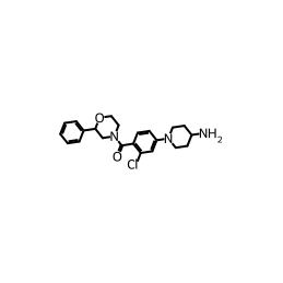 NC1CCN(c2ccc(C(=O)N3CCOC(c4ccccc4)C3)c(Cl)c2)CC1